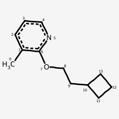 Cc1cccnc1OCCC1CCC1